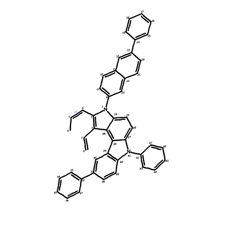 C=Cc1c(/C=C\C)n(-c2ccc3cc(-c4ccccc4)ccc3c2)c2ccc3c(c4cc(-c5ccccc5)ccc4n3-c3ccccc3)c12